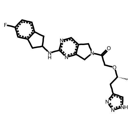 C[C@H](Cc1c[nH]nn1)OCC(=O)N1Cc2cnc(NC3Cc4ccc(F)cc4C3)nc2C1